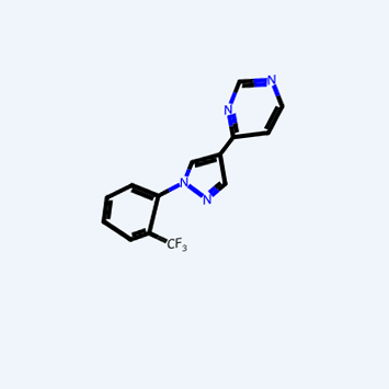 FC(F)(F)c1ccccc1-n1cc(-c2ccncn2)cn1